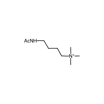 CC(=O)NCCCC[N+](C)(C)C